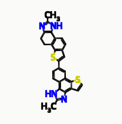 Cc1nc2c([nH]1)-c1ccc3cc(-c4ccc5c(c4)c4sccc4c4nc(C)[nH]c54)sc3c1CC2